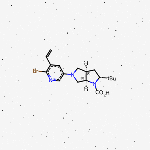 C=Cc1cc(N2C[C@H]3CC(C(C)(C)C)N(C(=O)O)[C@H]3C2)cnc1Br